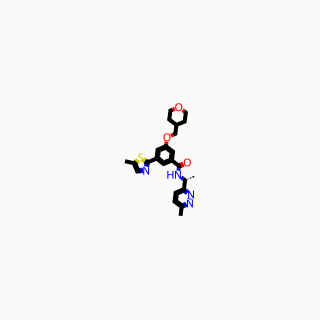 Cc1ccc([C@@H](C)NC(=O)c2cc(OCC3CCOCC3)cc(-c3ncc(C)s3)c2)nn1